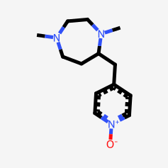 CN1CCC(Cc2cc[n+]([O-])cc2)N(C)CC1